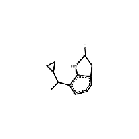 CC(c1cccc2c1NC(=O)C2)C1CC1